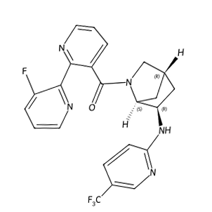 O=C(c1cccnc1-c1ncccc1F)N1C[C@@H]2C[C@@H](Nc3ccc(C(F)(F)F)cn3)[C@@H]1C2